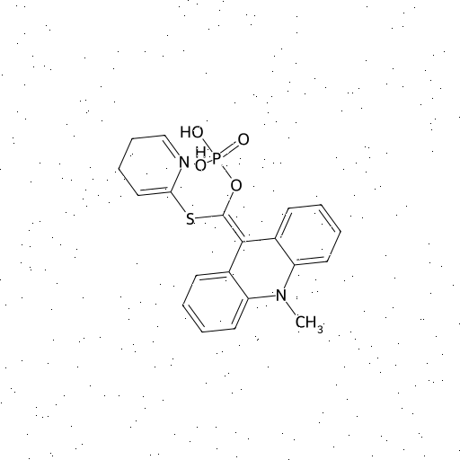 CN1c2ccccc2C(=C(OP(=O)(O)O)SC2=CCCC=N2)c2ccccc21